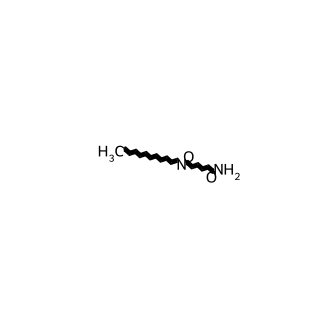 CCCCCCCCCCCC=NC(=O)CCCCC(N)=O